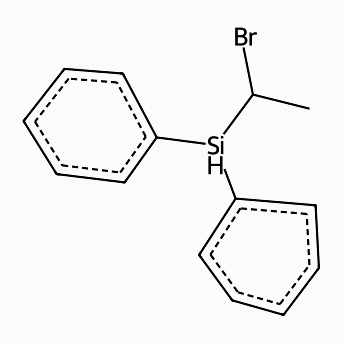 CC(Br)[SiH](c1ccccc1)c1ccccc1